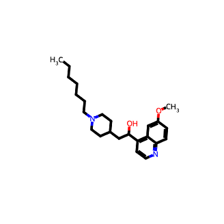 CCCCCCCN1CCC(CC(O)c2ccnc3ccc(OC)cc23)CC1